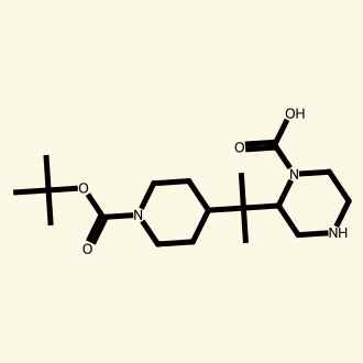 CC(C)(C)OC(=O)N1CCC(C(C)(C)C2CNCCN2C(=O)O)CC1